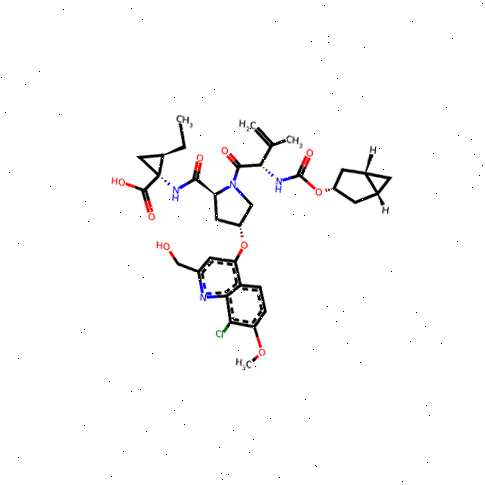 C=C(C)[C@H](NC(=O)O[C@@H]1C[C@@H]2C[C@@H]2C1)C(=O)N1C[C@H](Oc2cc(CO)nc3c(Cl)c(OC)ccc23)C[C@H]1C(=O)N[C@]1(C(=O)O)C[C@H]1CC